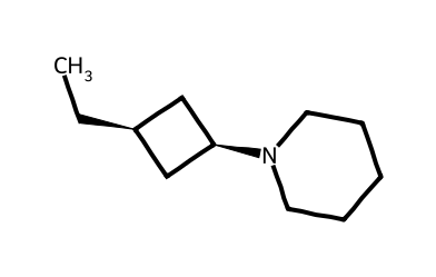 CC[C@H]1C[C@@H](N2CCCCC2)C1